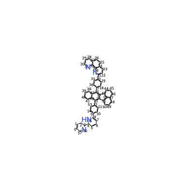 C1=CCC(C2C=CC=C(c3ccc(-c4c5c(c(-c6ccc(-c7ccc8ccc9cccnc9c8n7)cc6)c6ccccc46)-c4cccc6cccc-5c46)cc3)N2)N=C1